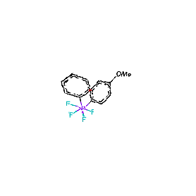 COc1ccc([I+](F)(F)(F)(F)c2ccccc2)cc1